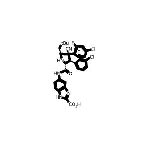 CC(C)(C)C[C@@H]1N[C@@H](C(=O)Nc2ccc3[nH]c(C(=O)O)nc3c2)[C@H](c2cccc(Cl)c2F)[C@@]1(C#N)c1ccc(Cl)cc1F